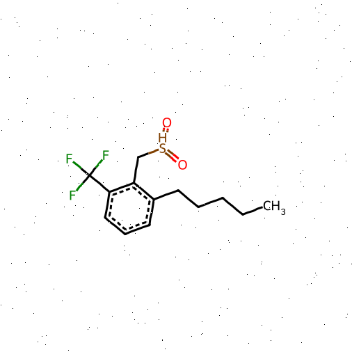 CCCCCc1cccc(C(F)(F)F)c1C[SH](=O)=O